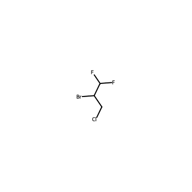 F[C](F)C(Br)CCl